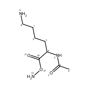 CC(=O)NC(CCCCN)C(=O)ON